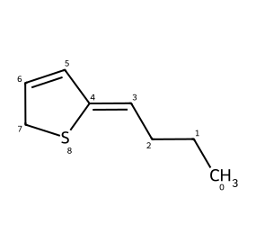 CCCC=C1C=CCS1